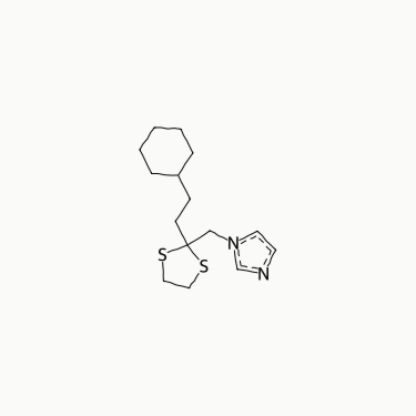 c1cn(CC2(CCC3CCCCC3)SCCS2)cn1